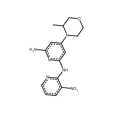 CC1COCCN1c1cc(N)nc(Nc2ncccc2[N+](=O)[O-])c1